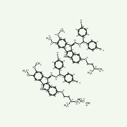 COc1cc2c(cc1OC)-c1[nH]c3ccc(OCCN(C)C)cc3c1C2=NOC(c1ccc(F)cc1)c1ccc(F)cc1.COc1cc2c(cc1OC)-c1[nH]c3ccc(OCCN(C)C)cc3c1C2=NOC(c1ccc(F)cc1)c1ccc(F)cc1.Cl.Cl.Cl